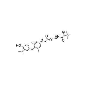 Cc1cc(OCC(=O)OCCNC(=O)C(N)C(C)C)cc(C)c1Cc1ccc(O)c(C(C)C)c1